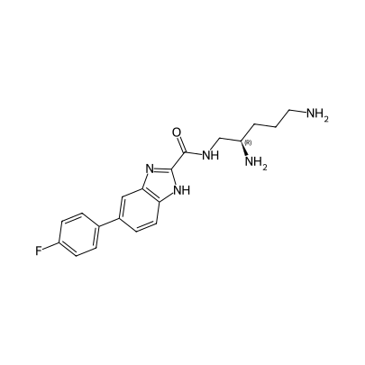 NCCC[C@@H](N)CNC(=O)c1nc2cc(-c3ccc(F)cc3)ccc2[nH]1